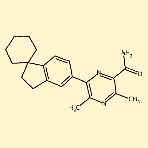 Cc1nc(C)c(-c2ccc3c(c2)CCC32CCCCC2)nc1C(N)=O